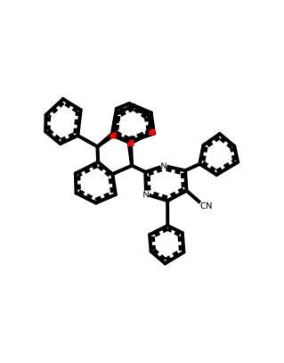 N#Cc1c(-c2ccccc2)nc(C23c4ccccc4C(c4ccccc4)(c4ccccc42)c2ccccc23)nc1-c1ccccc1